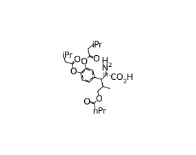 CCCC(=O)OCC(C)C(c1ccc(OC(=O)CC(C)C)c(OC(=O)CC(C)C)c1)[C@H](N)C(=O)O